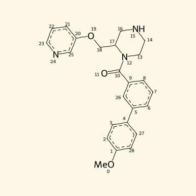 COc1ccc(-c2cccc(C(=O)N3CCNCC3COc3cccnc3)c2)cc1